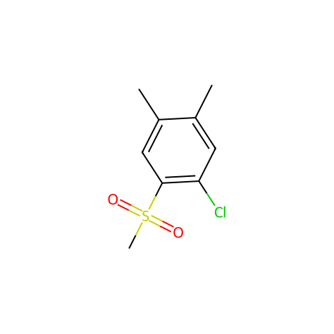 Cc1cc(Cl)c(S(C)(=O)=O)cc1C